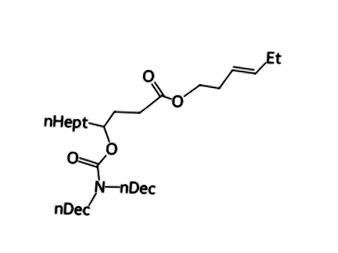 CC/C=C/CCOC(=O)CCC(CCCCCCC)OC(=O)N(CCCCCCCCCC)CCCCCCCCCC